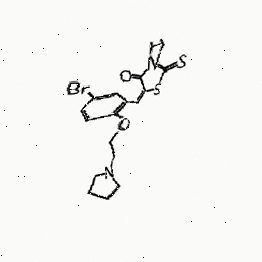 O=C1NC(=S)SC1=Cc1cc(Br)ccc1OCCN1CCCC1